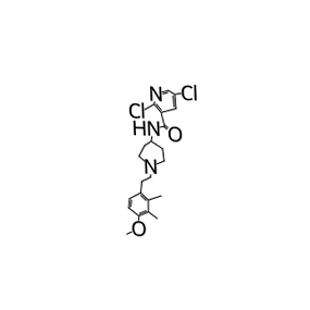 COc1ccc(CCN2CCC(NC(=O)c3cc(Cl)cnc3Cl)CC2)c(C)c1C